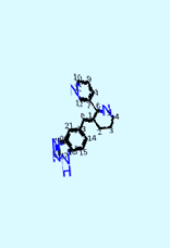 C(=C1/CCCN=C1c1cccnc1)/c1ccc2[nH]nnc2c1